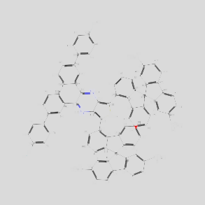 CC(C)(C)c1ccc2c(c1)C1(c3cc(C(C)(C)C)ccc3-2)c2ccccc2-c2c(-c3sc(-c4cccc5c4-c4ccccc4C54c5cc(C(C)(C)C)ccc5-c5ccc(C(C)(C)C)cc54)c4nc5c6cc(-c7ccc(F)cc7)ccc6c6ccc(-c7ccc(F)cc7)cc6c5nc34)cccc21